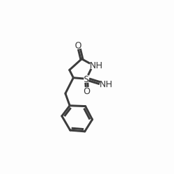 N=S1(=O)NC(=O)CC1Cc1ccccc1